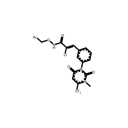 CC(=O)CONC(=O)/C(Cl)=C/c1cccc(-n2c(=O)cc(C(F)(F)F)n(C)c2=O)c1